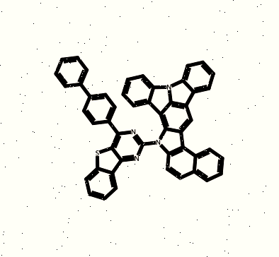 c1ccc(-c2ccc(-c3nc(-n4c5ccc6ccccc6c5c5cc6c7ccccc7n7c8ccccc8c(c54)c67)nc4c3sc3ccccc34)cc2)cc1